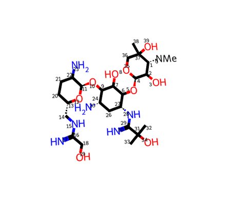 CN[C@@H]1C(O)[C@@H](OC2C(O)C(O[C@H]3O[C@H](CNC(=N)CO)CCC3N)[C@@H](N)C[C@H]2NC(=N)C(C)(C)O)OCC1(C)O